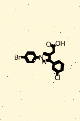 O=C(O)Cc1cn(-c2ccc(Br)cc2)nc1-c1cccc(Cl)c1